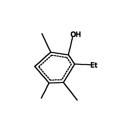 CCc1c(C)c(C)cc(C)c1O